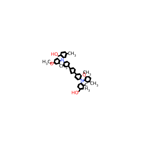 COc1ccc(N(c2ccc(-c3ccc(-c4ccc(N(c5ccc(CO)cc5C)c5cc(C)ccc5OC)cc4)cc3)cc2)c2cc(C)ccc2CO)c(C)c1